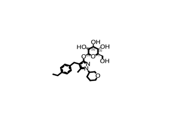 CCc1ccc(Cc2c(O[C@@H]3O[C@H](CO)[C@@H](O)[C@H](O)[C@H]3O)nn(C3CCCOC3)c2C)cc1